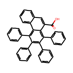 O=C(O)c1cc2ccccc2c2c(-c3ccccc3)c(-c3ccccc3)c(-c3ccccc3)c(-c3ccccc3)c12